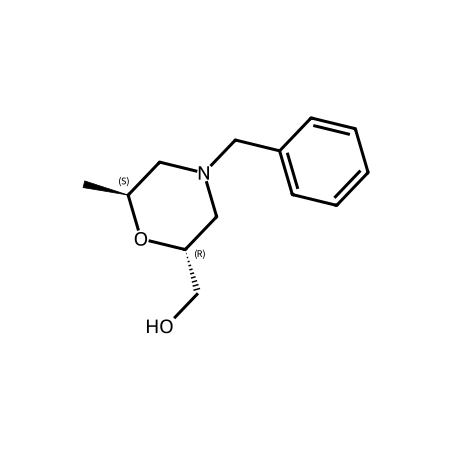 C[C@H]1CN(Cc2ccccc2)C[C@H](CO)O1